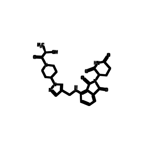 C[C@@H](O)C(=O)N1CCC(n2cc(CNc3cccc4c3C(=O)N(C3CCC(=O)NC3=O)C4=O)cn2)CC1